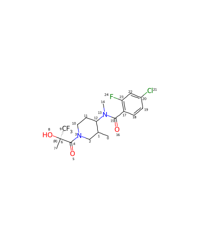 CC1CN(C(=O)[C@@](C)(O)C(F)(F)F)CCC1N(C)C(=O)c1ccc(Cl)cc1F